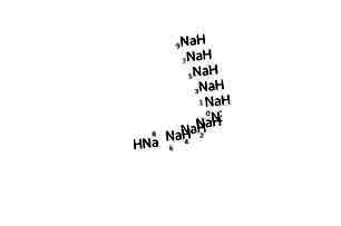 [N].[NaH].[NaH].[NaH].[NaH].[NaH].[NaH].[NaH].[NaH].[NaH]